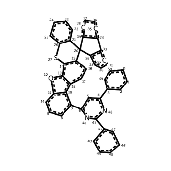 c1ccc(-c2cc(-c3cccc4oc5c6c(ccc5c34)C3(c4ccccc4S6)c4ccccc4-c4ccccc43)nc(-c3ccccc3)n2)cc1